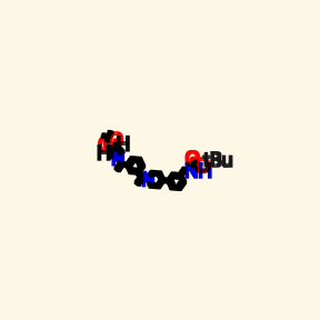 C=C(c1cccc(C(=C)N2C[C@@H]3OC(C)(C)O[C@@H]3C2)c1)N1CCC(c2cccc(CNC(=O)OC(C)(C)C)c2)CC1